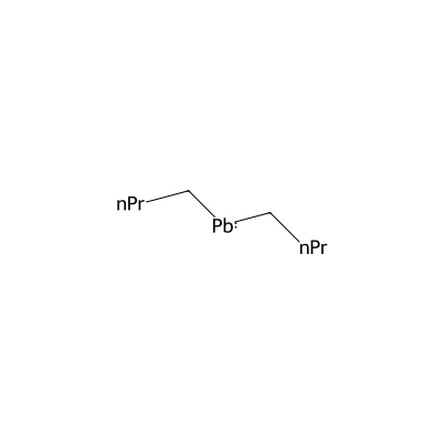 CCC[CH2][Pb][CH2]CCC